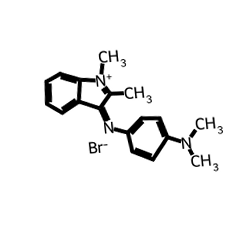 CC1=[N+](C)c2ccccc2/C1=N/c1ccc(N(C)C)cc1.[Br-]